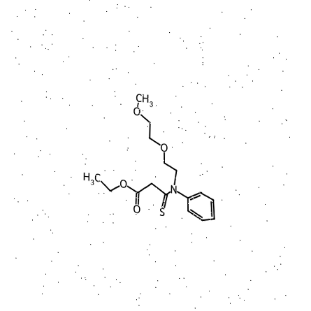 CCOC(=O)CC(=S)N(CCOCCOC)c1ccccc1